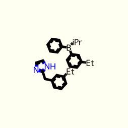 CCc1cccc(B(c2ccccc2)C(C)C)c1.CCc1cccc(Cc2ncc[nH]2)c1